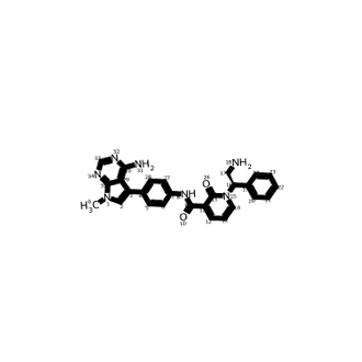 Cn1cc(-c2ccc(NC(=O)c3cccn([C@@H](CN)c4ccccc4)c3=O)cc2)c2c(N)ncnc21